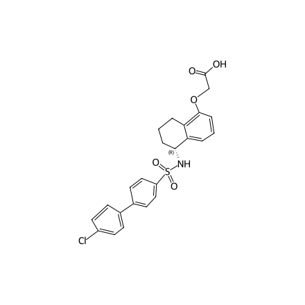 O=C(O)COc1cccc2c1CCC[C@H]2NS(=O)(=O)c1ccc(-c2ccc(Cl)cc2)cc1